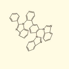 c1ccc(-c2nc3ccccc3n2-c2ccccc2-c2ccc(-n3cnc4ccccc43)c(-n3cnc4ccccc43)c2)cc1